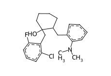 CN(C)c1ccccc1CC1CCCCC1(O)Cc1c(F)cccc1Cl